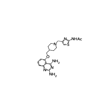 CC(=O)Nc1nc(CN2CCC(COc3cccc4nc(N)nc(N)c34)CC2)cs1